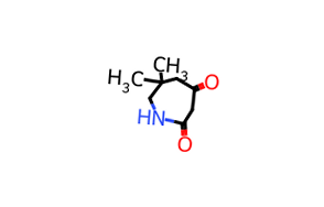 CC1(C)CNC(=O)CC(=O)C1